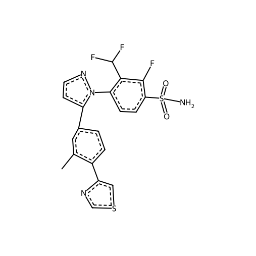 Cc1cc(-c2ccnn2-c2ccc(S(N)(=O)=O)c(F)c2C(F)F)ccc1-c1cscn1